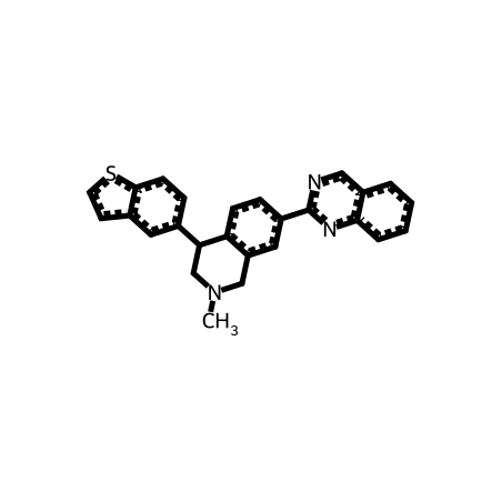 CN1Cc2cc(-c3ncc4ccccc4n3)ccc2C(c2ccc3sccc3c2)C1